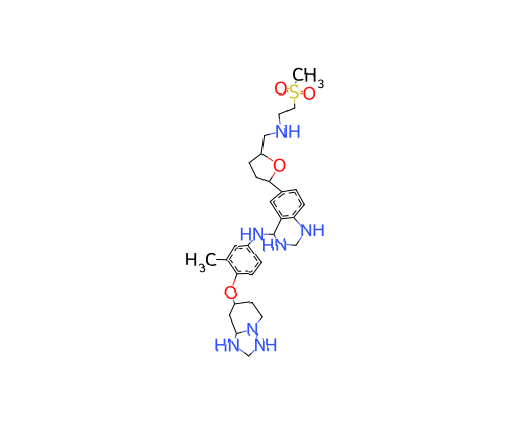 Cc1cc(NC2NCNc3ccc(C4CCC(CNCCS(C)(=O)=O)O4)cc32)ccc1OC1CCN2NCNC2C1